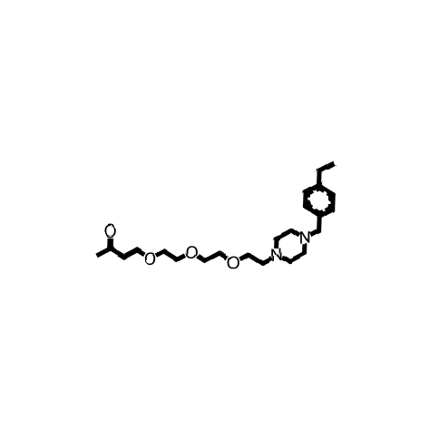 CCc1ccc(CN2CCN(CCOCCOCCOCCC(C)=O)CC2)cc1